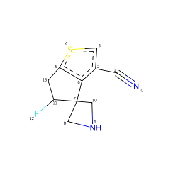 N#Cc1csc2c1C1(CNC1)C(F)C2